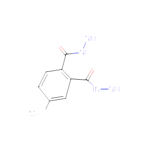 COc1ccc(C(=O)NN)c(C(=O)NN)c1